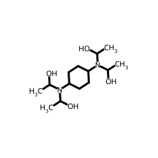 CC(O)N(C(C)O)C1CCC(N(C(C)O)C(C)O)CC1